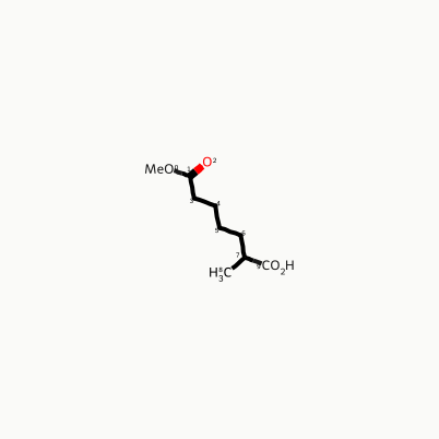 COC(=O)CCCCC(C)C(=O)O